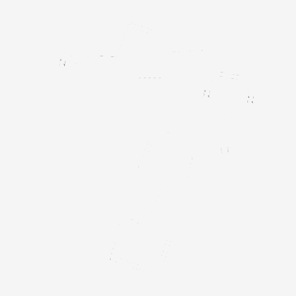 N#Cc1ccc(Cc2cncn2Cc2ccc(-c3ccccc3)cc2Cl)cc1